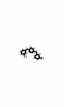 CCc1cccc(Cc2ccc(Cc3cccc(CC)c3)cc2)c1